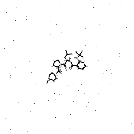 CC(C)C[C@@H](NC(=O)c1ccccc1OC(C)(C)C)C(=O)N1CCC[C@@H]1C(=O)N1CCN(C)CC1